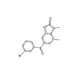 Cc1cc(C(=O)c2cccc(Br)c2)cc2oc(=O)n(C)c12